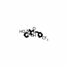 O=C(NCc1ccc(C(F)(F)F)cc1)c1cnc2c(O)cccn2c1=O